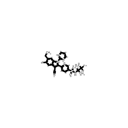 CCc1cc2c(cc1F)c(C#N)c(-c1ccc(S(=O)(=O)NC(C)(C)C(F)(F)F)cn1)n2-c1ncccn1